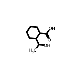 CC(O)C1C[CH]CCC1C(=O)O